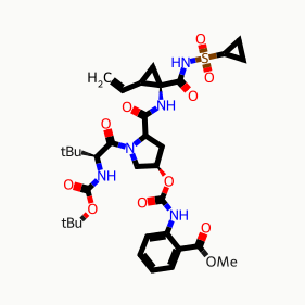 C=CC1C[C@]1(NC(=O)C1C[C@@H](OC(=O)Nc2ccccc2C(=O)OC)CN1C(=O)[C@@H](NC(=O)OC(C)(C)C)C(C)(C)C)C(=O)NS(=O)(=O)C1CC1